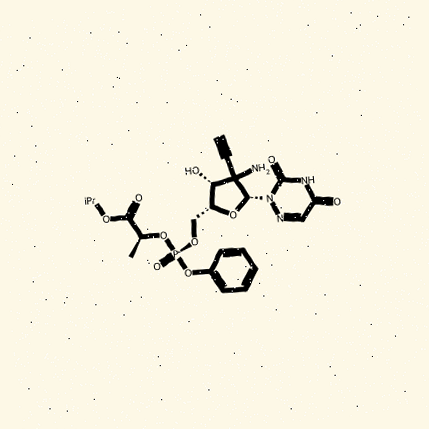 C#CC1(N)[C@@H](O)[C@@H](CO[P@](=O)(Oc2ccccc2)O[C@@H](C)C(=O)OC(C)C)O[C@H]1n1ncc(=O)[nH]c1=O